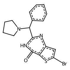 O=c1[nH]c(C(c2ccccc2)N2CCCC2)nc2cc(Br)sc12